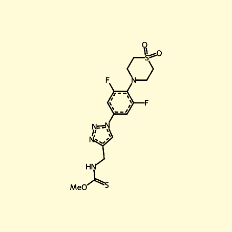 COC(=S)NCc1cn(-c2cc(F)c(N3CCS(=O)(=O)CC3)c(F)c2)nn1